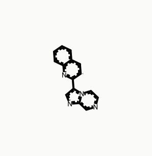 [c]1cc2ccccc2nc1-c1cnc2cnccn12